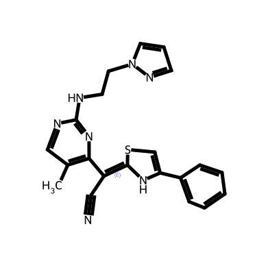 Cc1cnc(NCCn2cccn2)nc1/C(C#N)=C1/NC(c2ccccc2)=CS1